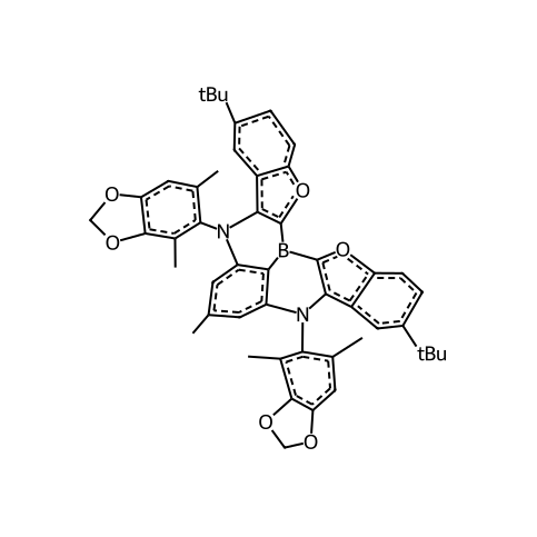 Cc1cc2c3c(c1)N(c1c(C)cc4c(c1C)OCO4)c1c(oc4ccc(C(C)(C)C)cc14)B3c1oc3ccc(C(C)(C)C)cc3c1N2c1c(C)cc2c(c1C)OCO2